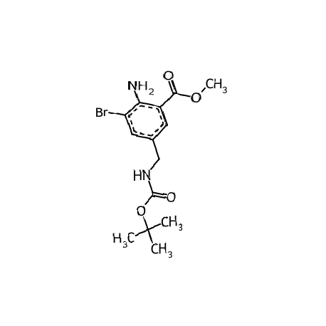 COC(=O)c1cc(CNC(=O)OC(C)(C)C)cc(Br)c1N